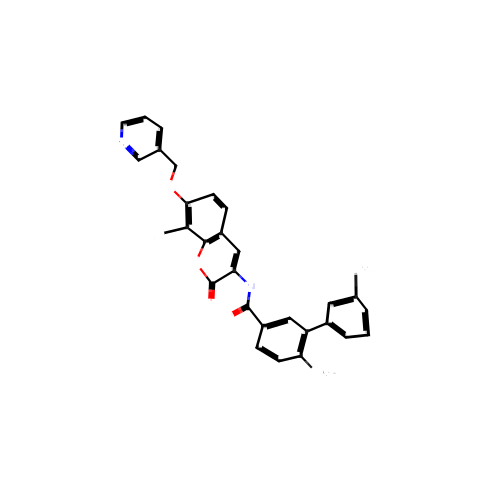 COc1cccc(-c2cc(C(=O)Nc3cc4ccc(OCc5cccnc5)c(C)c4oc3=O)ccc2OC)c1